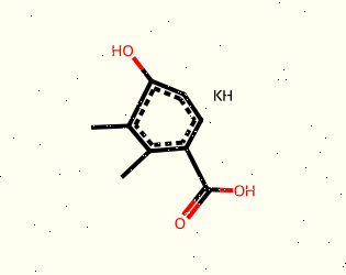 Cc1c(O)ccc(C(=O)O)c1C.[KH]